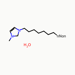 CCCCCCCCCCCCCCCCN1C=CN(C)C1.O